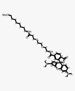 COCCCCCCCCNC(=O)CCOCCOCCNC(=O)c1ccc2c(c1)C1(OC2=O)c2ccc(N(C)C)cc2Oc2cc(N(C)C)ccc21